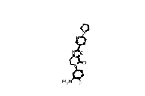 Nc1cc(N2CCc3nc(-c4ccc(N5CCCC5)nc4)sc3C2=O)ccc1F